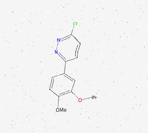 COc1ccc(-c2ccc(Cl)nn2)cc1OC(C)C